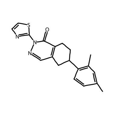 Cc1ccc(C2CCc3c(cnn(-c4nccs4)c3=O)C2)c(C)c1